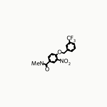 CNC(=O)c1ccc(OCc2cccc(C(F)(F)F)c2)c([N+](=O)[O-])c1